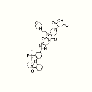 CC(C)CS(=O)(=O)c1ccccc1Oc1ccc(-c2noc(CN3C(=O)N(CCN4CCOCC4)C4(CCN(C(CC=O)C(=O)O)CC4)C3=O)n2)cc1C(F)(F)F